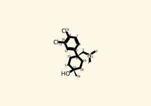 CN(C)C[C@]1(c2ccc(Cl)c(Cl)c2)CC[C@@](C)(O)CC1